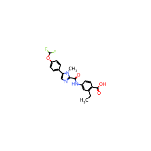 CCc1cc(NC(=O)c2ncc(-c3ccc(OC(F)F)cc3)n2C)ccc1C(=O)O